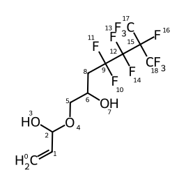 C=CC(O)OCC(O)CC(F)(F)C(F)(F)C(F)(C(F)(F)F)C(F)(F)F